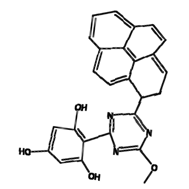 COc1nc(-c2c(O)cc(O)cc2O)nc(C2CC=c3ccc4cccc5ccc2c3c54)n1